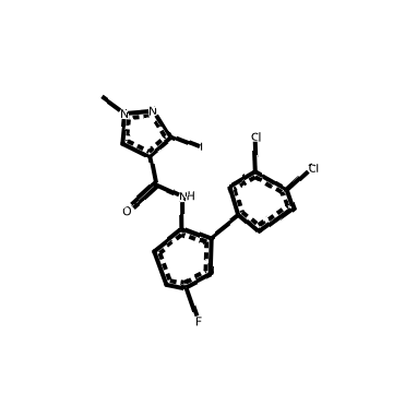 Cn1cc(C(=O)Nc2ccc(F)cc2-c2ccc(Cl)c(Cl)c2)c(I)n1